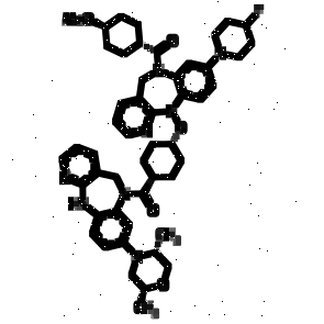 CO[C@H]1CC[C@H](C(=O)N2Cc3cccnc3N(O[C@H]3CC[C@H](C(=O)N4Cc5cccnc5Nc5ccc(N6C[C@H](C)OC[C@H]6C)cc54)CC3)c3ccc(N4CCC(F)CC4)cc32)CC1